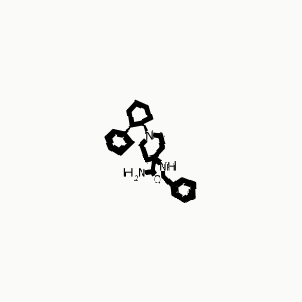 NC(=O)C1(NCc2ccccc2)CCN([C@@H]2CCCC[C@@H]2c2ccccc2)CC1